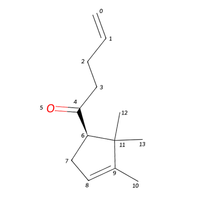 C=CCCC(=O)[C@@H]1CC=C(C)C1(C)C